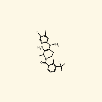 Cc1cc(N(N)C2=C(N)C(C)N(C(=O)c3cccc(C(F)(F)F)c3C)CC2)ncc1F